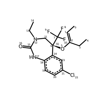 CC=C(CC)O[C@]1(C(F)(F)F)CN(CC)C(=O)Nc2ccc(Cl)cc21